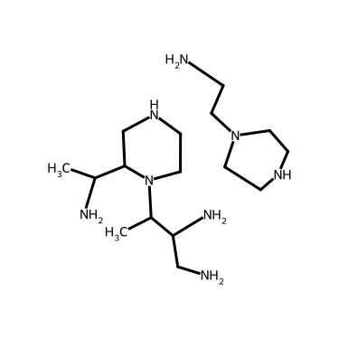 CC(N)C1CNCCN1C(C)C(N)CN.NCCN1CCNCC1